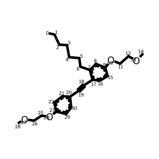 CCCCCCCc1cc(OCCOC)ccc1C#Cc1ccc(OCCOC)cc1